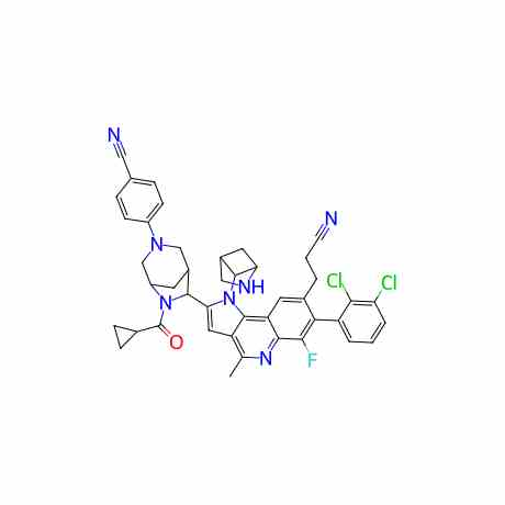 Cc1nc2c(F)c(-c3cccc(Cl)c3Cl)c(CCC#N)cc2c2c1cc(C1C3CC(CN(c4ccc(C#N)cc4)C3)N1C(=O)C1CC1)n2C1C2CNC1C2